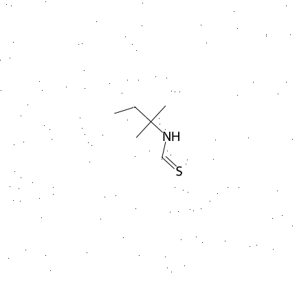 CCC(C)(C)NC=S